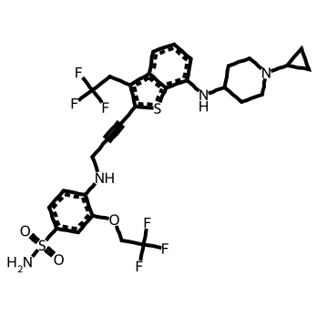 NS(=O)(=O)c1ccc(NCC#Cc2sc3c(NC4CCN(C5CC5)CC4)cccc3c2CC(F)(F)F)c(OCC(F)(F)F)c1